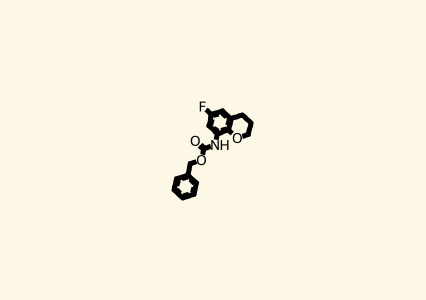 O=C(Nc1cc(F)cc2c1OCCC2)OCc1ccccc1